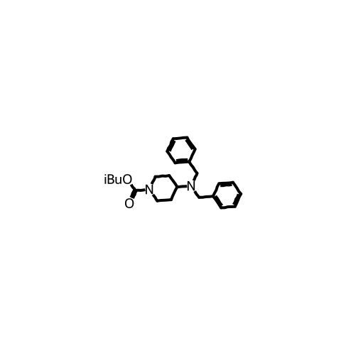 CC(C)COC(=O)N1CCC(N(Cc2ccccc2)Cc2ccccc2)CC1